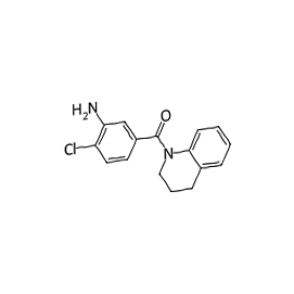 Nc1cc(C(=O)N2CCCc3ccccc32)ccc1Cl